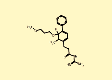 COCCCOC1(F)C(c2ccccc2)=CC=C(CCC(=O)NC(=N)N)C1C